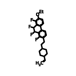 C=CC1CCC(CCc2ccc3c(c2F)C(F)C(F)c2c-3ccc(OCC)c2F)CC1